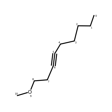 [CH2]CCCCC#CCCOC